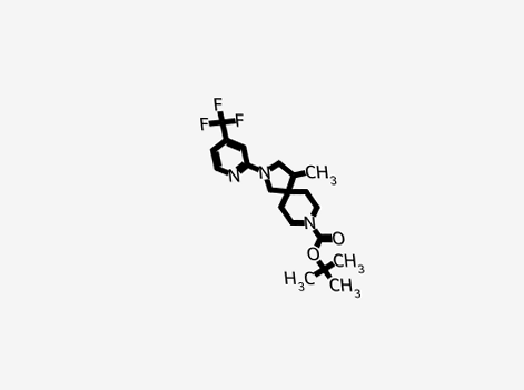 CC1CN(c2cc(C(F)(F)F)ccn2)CC12CCN(C(=O)OC(C)(C)C)CC2